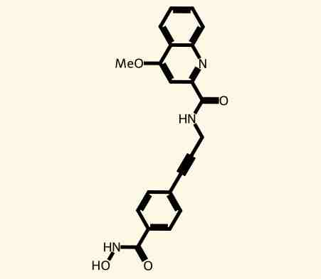 COc1cc(C(=O)NCC#Cc2ccc(C(=O)NO)cc2)nc2ccccc12